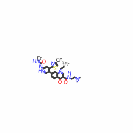 CCNC(=O)Nc1cc(-c2nc(C(F)(F)F)cs2)c(-c2ccc3c(=O)c(C(=O)NCCN(C)C)cn(CCC(C)C)c3c2)cn1